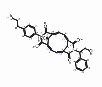 C=C1/C2=C\C=C3/C/C(=C\C=C/1C(=O)N(c1ccc(CCO)cc1)C2=O)C(=O)N(C(CO)c1ccccc1)C3=O